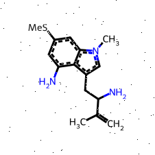 C=C(C)C(N)Cc1cn(C)c2cc(SC)cc(N)c12